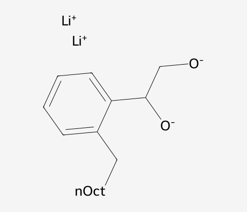 CCCCCCCCCc1ccccc1C([O-])C[O-].[Li+].[Li+]